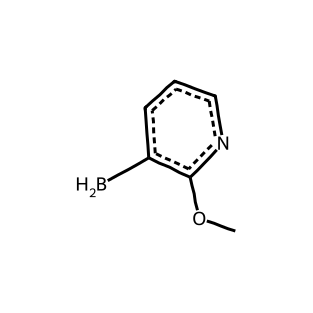 Bc1cccnc1OC